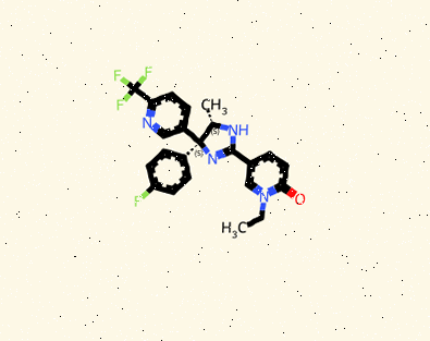 CCn1cc(C2=N[C@@](c3ccc(F)cc3)(c3ccc(C(F)(F)F)nc3)[C@H](C)N2)ccc1=O